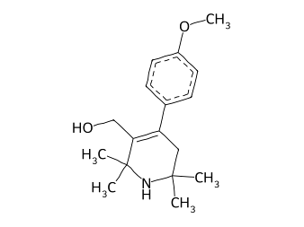 COc1ccc(C2=C(CO)C(C)(C)NC(C)(C)C2)cc1